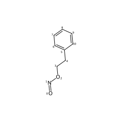 O=NOCCc1ccccc1